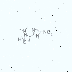 CN(C)N1NOC=C1c1ncc([N+](=O)[O-])n1C